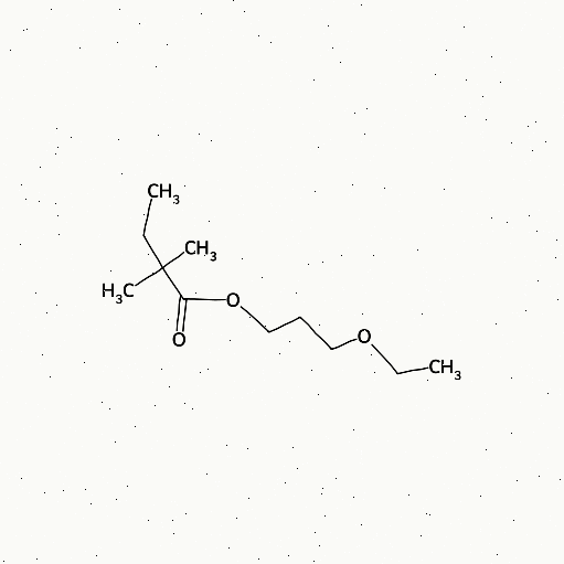 CCOCCCOC(=O)C(C)(C)CC